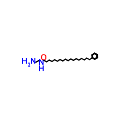 NCCNC(=O)CCCCCCCCCCCCCCCCCc1ccccc1